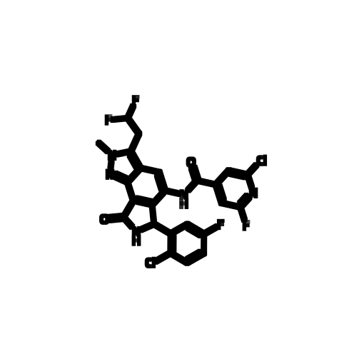 Cn1nc2c3c(c(NC(=O)c4cc(F)nc(Cl)c4)cc2c1CC(F)F)C(c1cc(F)ccc1Cl)NC3=O